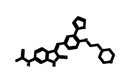 CC(=O)Nc1ccc2c(c1)NC(=O)C2=Cc1ccc(OCCN2CCOCC2)c(-c2cccs2)c1